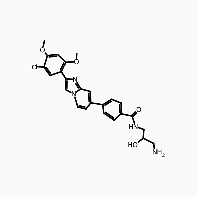 COc1cc(OC)c(-c2cn3ccc(-c4ccc(C(=O)NCC(O)CN)cc4)cc3n2)cc1Cl